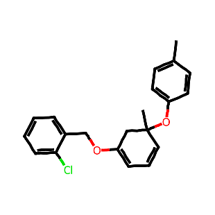 Cc1ccc(OC2(C)C=CC=C(OCc3ccccc3Cl)C2)cc1